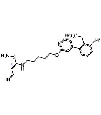 CC(C)c1cccc(-c2ccnc(OCCCCCN/C(=C\C=N)SN)c2)c1CC(=O)O